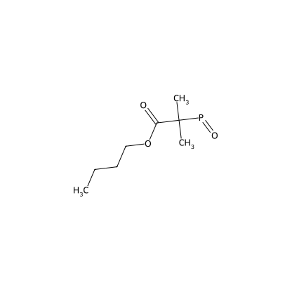 CCCCOC(=O)C(C)(C)P=O